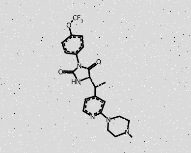 CC(c1ccnc(N2CCN(C)CC2)c1)C1NC(=O)N(c2ccc(OC(F)(F)F)cc2)C1=O